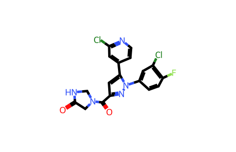 O=C1CN(C(=O)c2cc(-c3ccnc(Cl)c3)n(-c3ccc(F)c(Cl)c3)n2)CN1